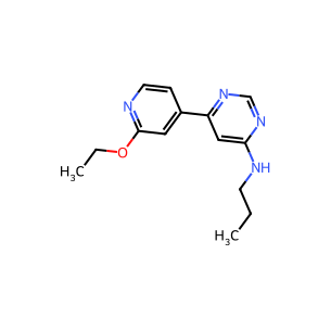 CCCNc1cc(-c2ccnc(OCC)c2)ncn1